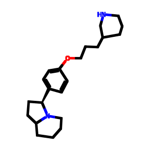 c1cc([C@@H]2CCC3CCCCN32)ccc1OCCCC1CCCNC1